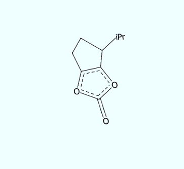 CC(C)C1CCc2oc(=O)oc21